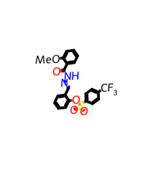 COc1ccccc1C(=O)NN=Cc1ccccc1OS(=O)(=O)c1ccc(C(F)(F)F)cc1